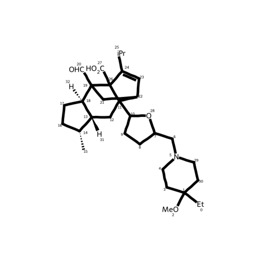 CCC1(OC)CCN(CC2CCC(C34C[C@@H]5[C@H](C)CC[C@H]5C5(C=O)CC3C=C(C(C)C)C45C(=O)O)O2)CC1